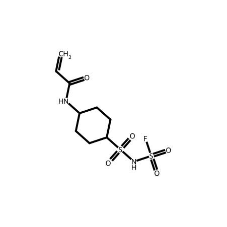 C=CC(=O)NC1CCC(S(=O)(=O)NS(=O)(=O)F)CC1